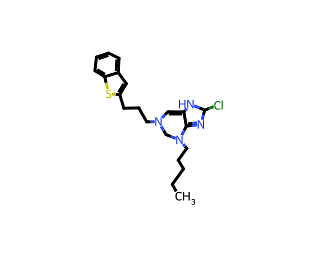 CCCCCN1CN(CCCc2cc3ccccc3s2)C=C2NC(Cl)N=C21